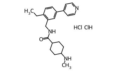 CCc1ccc(-c2ccncc2)cc1CNC(=O)C1CCC(NC)CC1.Cl.Cl